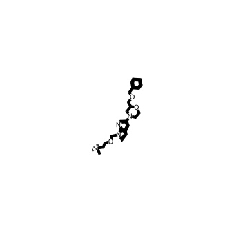 C[Si](C)(C)CCOCn1ccc2cc(N3CCOC(COCc4ccccc4)C3)cnc21